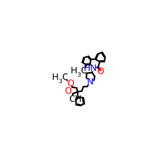 CCOC(=O)CC(CC)(CCCN1CCC(NC(=O)c2ccccc2-c2cccc(C)c2)CC1)c1ccccc1